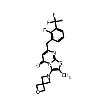 Cc1sc2nc(Cc3cccc(C(F)(F)F)c3F)cc(=O)n2c1N1CC2(COC2)C1